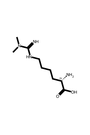 CN(C)C(=N)NCCCC[C@H](N)C(=O)O